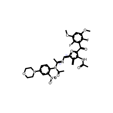 C=c1c(NC(C)=O)c(C(=O)c2c(F)c(OC)cc(OC)c2F)o/c1=C/N=C(\C)N(C(C)=O)c1ccc(N2CCOCC2)cc1[N+](=O)[O-]